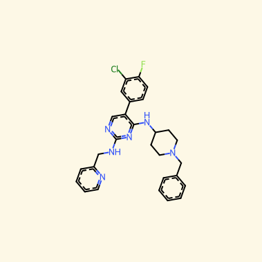 Fc1ccc(-c2cnc(NCc3ccccn3)nc2NC2CCN(Cc3ccccc3)CC2)cc1Cl